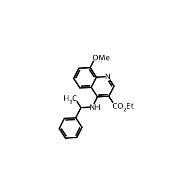 CCOC(=O)c1cnc2c(OC)cccc2c1NC(C)c1ccccc1